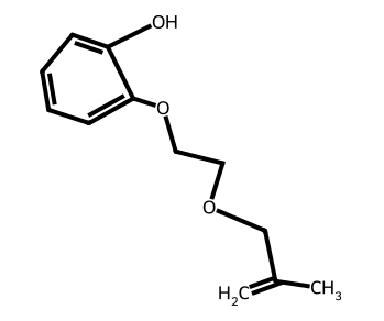 C=C(C)COCCOc1ccccc1O